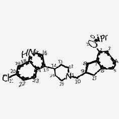 CC(C)Oc1cccc2c1CC(CN1CCC(c3c[nH]c4cc(Cl)ccc34)CC1)C2